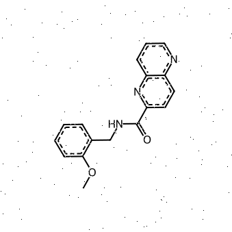 COc1ccccc1CNC(=O)c1ccc2ncccc2n1